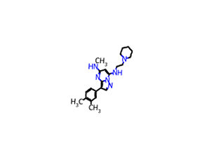 CNc1cc(NCCN2CCCCC2)n2ncc(-c3ccc(C)c(C)c3)c2n1